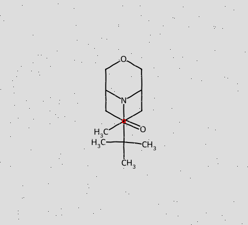 CC(=O)N1C2COCC1CC(C(C)(C)C)C2